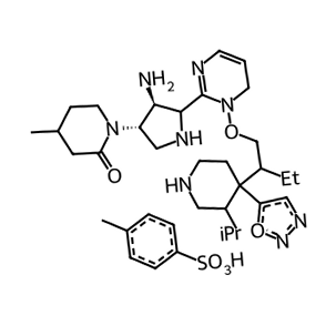 CCC(CON1CC=CN=C1C1NC[C@H](N2CCC(C)CC2=O)[C@H]1N)C1(c2cnno2)CCNCC1C(C)C.Cc1ccc(S(=O)(=O)O)cc1